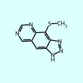 CSc1c2ncncc2cc2[nH]nnc12